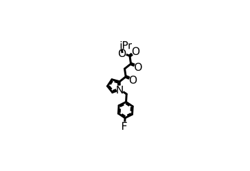 CC(C)OC(=O)C(=O)CC(=O)c1cccn1Cc1ccc(F)cc1